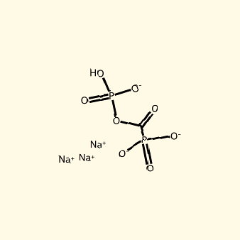 O=C(OP(=O)([O-])O)P(=O)([O-])[O-].[Na+].[Na+].[Na+]